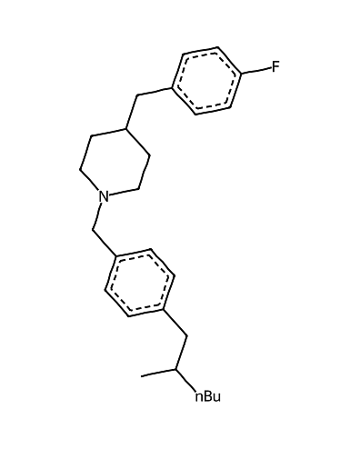 CCCCC(C)Cc1ccc(CN2CCC(Cc3ccc(F)cc3)CC2)cc1